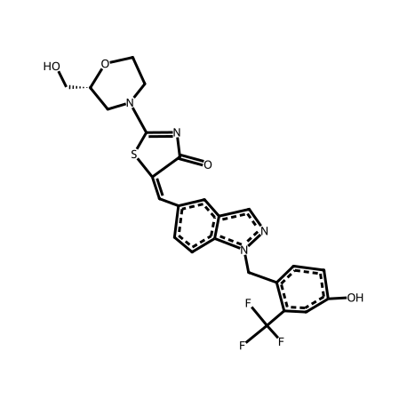 O=C1N=C(N2CCO[C@@H](CO)C2)SC1=Cc1ccc2c(cnn2Cc2ccc(O)cc2C(F)(F)F)c1